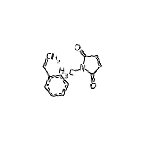 C=Cc1ccccc1.CN1C(=O)C=CC1=O